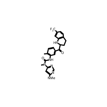 CNc1cc(N(C)C(=O)Nc2cc(C(=O)C3CCc4ccc(C(F)(F)F)cc4N3)ccc2C)ncn1